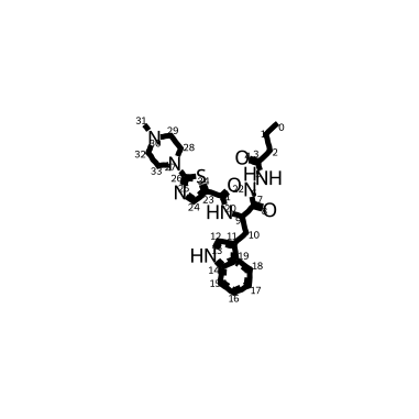 CCCC(=O)NNC(=O)C(Cc1c[nH]c2ccccc12)NC(=O)c1cnc(N2CCN(C)CC2)s1